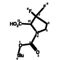 CC(C)(C)OC(=O)N1CCC(F)(F)C1C(=O)O